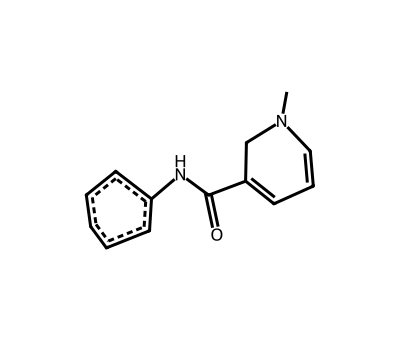 CN1C=CC=C(C(=O)Nc2ccccc2)C1